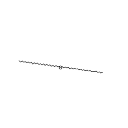 CCCCCCCCCCCCCCCCCCCCCCCCCCCOCCCCCCCCCCCCCCCCCCCCCCCCCCC